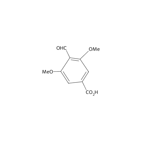 COc1cc(C(=O)O)cc(OC)c1C=O